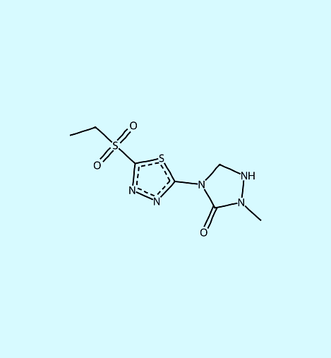 CCS(=O)(=O)c1nnc(N2CNN(C)C2=O)s1